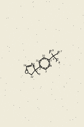 CC1(c2ccc(C(F)(F)F)cc2)COC=N1